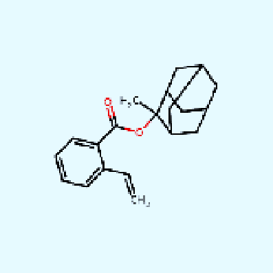 C=Cc1ccccc1C(=O)OC1(C)C2CC3CC(C2)CC1C3